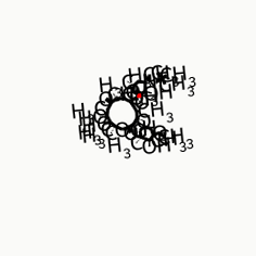 CO[C@]1(C)C[C@H](O[C@H]2[C@H](C)[C@@H](O[C@@H]3O[C@H](C)C[C@H](N(C)CC(C)(C)C)[C@H]3O)[C@](C)(O)C[C@@H](C)C(=O)[C@H](C)[C@@H](O)[C@](C)(O)[C@@H](C)OC(=O)[C@@H]2C)O[C@@H](C)[C@@H]1O